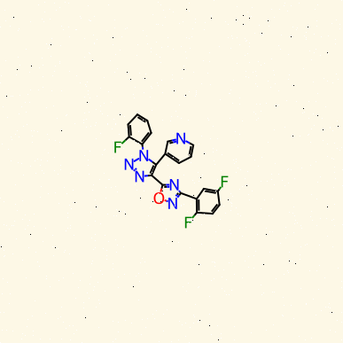 Fc1ccc(F)c(-c2noc(-c3nnn(-c4ccccc4F)c3-c3cccnc3)n2)c1